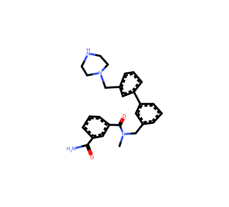 CN(Cc1cccc(-c2cccc(CN3CCNCC3)c2)c1)C(=O)c1cccc(C(N)=O)c1